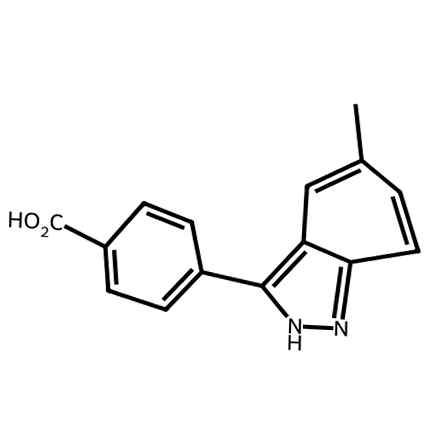 Cc1ccc2n[nH]c(-c3ccc(C(=O)O)cc3)c2c1